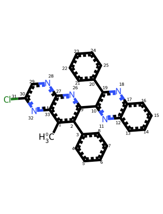 Cc1c(-c2ccccc2)c(-c2nc3ccccc3nc2-c2ccccc2)nc2ncc(Cl)nc12